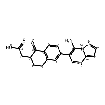 Nc1c(-c2ccc3c(c2)CCC(CC(=O)O)C3=O)cnc2ccnn12